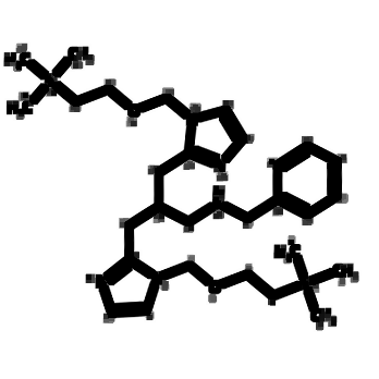 C[Si](C)(C)CCOCn1ccnc1CC(CNCc1ccccc1)Cc1nccn1COCC[Si](C)(C)C